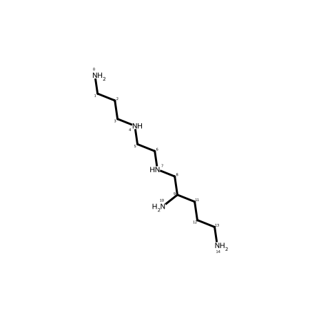 NCCCNCCNCC(N)CCCN